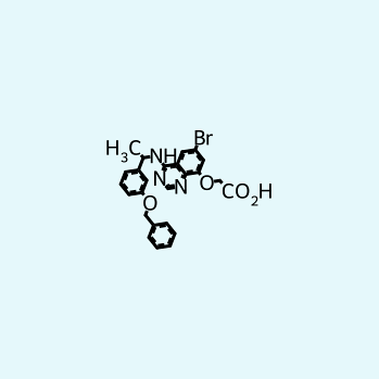 CC(Nc1ncnc2c(OCC(=O)O)cc(Br)cc12)c1cccc(OCc2ccccc2)c1